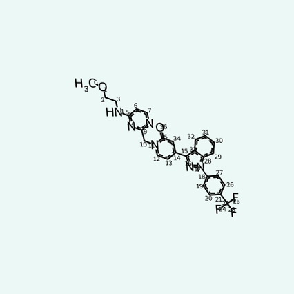 COCCNc1ccnc(Cn2ccc(-c3nn(-c4ccc(C(F)(F)F)cc4)c4ccccc34)cc2=O)n1